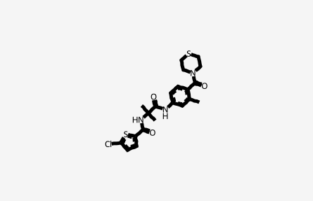 Cc1cc(NC(=O)C(C)(C)NC(=O)c2ccc(Cl)s2)ccc1C(=O)N1CCSCC1